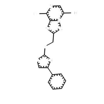 Cc1ncc(C)n2nc(CSc3nc(-c4ccccc4)cs3)nc12